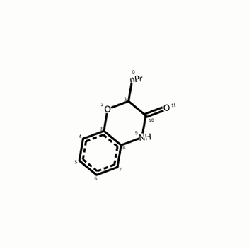 CCCC1Oc2ccccc2NC1=O